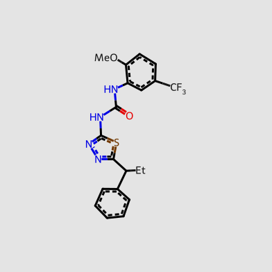 CCC(c1ccccc1)c1nnc(NC(=O)Nc2cc(C(F)(F)F)ccc2OC)s1